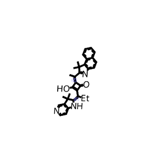 CC/C(C1=C(O)/C(=C(\C)C2=Nc3ccc4ccccc4c3C2(C)C)C1=O)=C1\Nc2ccncc2C1(C)C